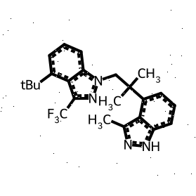 Cc1n[nH]c2cccc(C(C)(C)Cn3nc(C(F)(F)F)c4c(C(C)(C)C)cccc43)c12